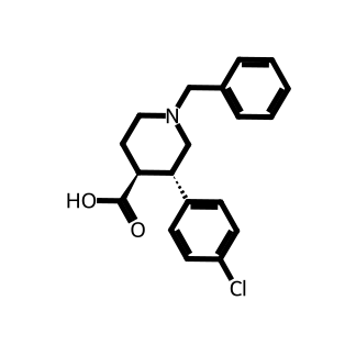 O=C(O)[C@H]1CCN(Cc2ccccc2)C[C@@H]1c1ccc(Cl)cc1